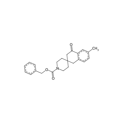 Cc1ccc2c(c1)C(=O)CC1(CCN(C(=O)OCc3ccccc3)CC1)C2